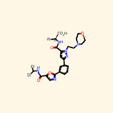 CCC(CC)NC(=O)c1cnc(-c2cccc(-c3cc(C(=O)N[C@H](C(=O)O)C(C)C)n(CCN4CCOCC4)n3)c2)o1